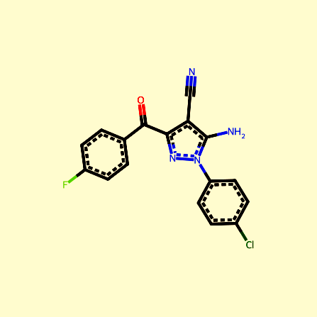 N#Cc1c(C(=O)c2ccc(F)cc2)nn(-c2ccc(Cl)cc2)c1N